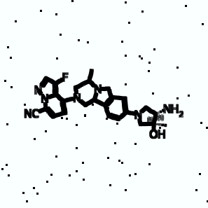 CC1CN(c2ccc(C#N)n3ncc(F)c23)CC2c3ccc(N4C[C@H](N)[C@@](C)(O)C4)cc3CN12